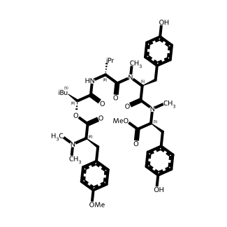 CC[C@H](C)[C@@H](OC(=O)[C@@H](Cc1ccc(OC)cc1)N(C)C)C(=O)N[C@@H](C(=O)N(C)[C@@H](Cc1ccc(O)cc1)C(=O)N(C)[C@@H](Cc1ccc(O)cc1)C(=O)OC)C(C)C